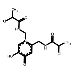 CC(Cl)C(=O)NCc1cc(=O)c(O)cn1CNC(=O)C(C)Cl